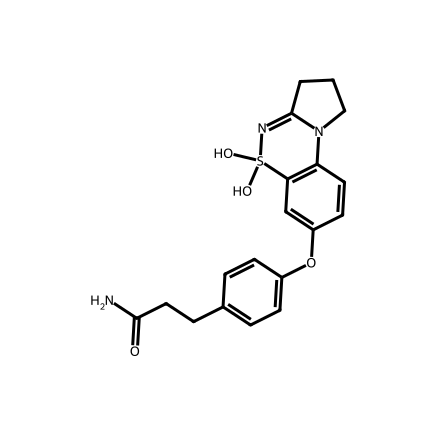 NC(=O)CCc1ccc(Oc2ccc3c(c2)S(O)(O)N=C2CCCN23)cc1